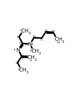 C=C(CC)/N=C(/CC)N(C)CC/C=C\C